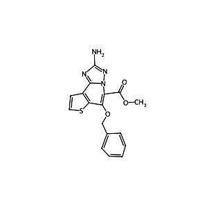 COC(=O)c1c(OCc2ccccc2)c2sccc2c2nc(N)nn12